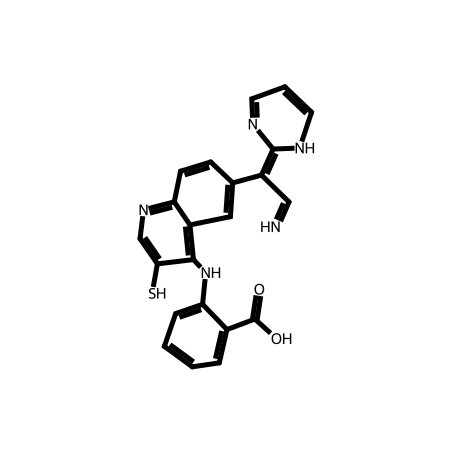 N=C/C(=C1/N=CC=CN1)c1ccc2ncc(S)c(Nc3ccccc3C(=O)O)c2c1